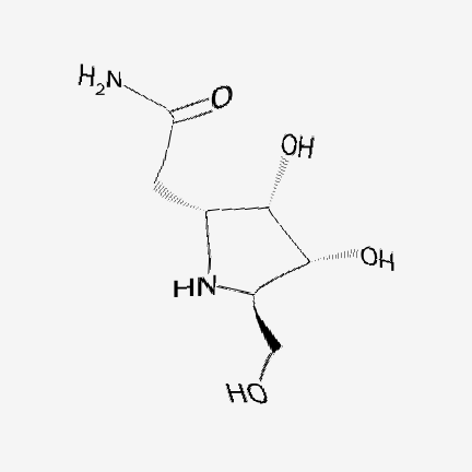 NC(=O)C[C@H]1N[C@H](CO)[C@@H](O)[C@H]1O